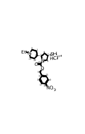 CCN1CCC([C@@H]2C[C@H](S)CN2C(=O)OCc2ccc([N+](=O)[O-])cc2)CC1.Cl